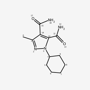 Cc1nn(C2CCCCC2)c(C(N)=O)c1C(N)=O